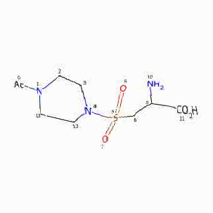 CC(=O)N1CCN(S(=O)(=O)CC(N)C(=O)O)CC1